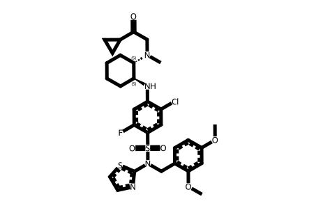 COc1ccc(CN(c2nccs2)S(=O)(=O)c2cc(Cl)c(N[C@H]3CCCC[C@@H]3N(C)CC(=O)C3CC3)cc2F)c(OC)c1